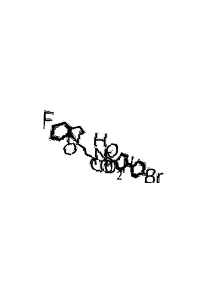 O=C(O)C(CCC(=O)N1CCc2cc(F)ccc21)NS(=O)(=O)c1ccc(-c2ccc(Br)cc2)cc1